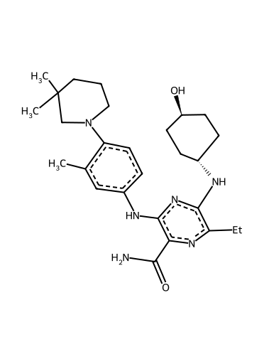 CCc1nc(C(N)=O)c(Nc2ccc(N3CCCC(C)(C)C3)c(C)c2)nc1N[C@H]1CC[C@H](O)CC1